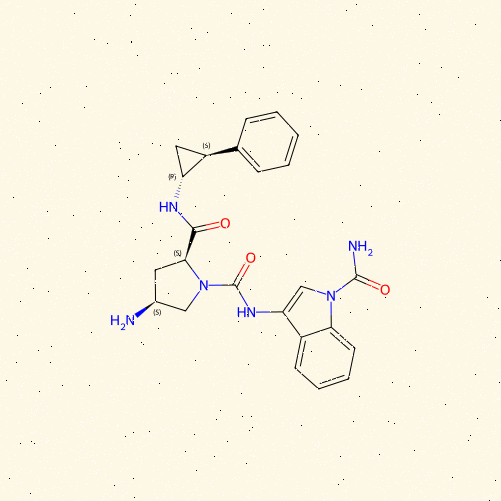 NC(=O)n1cc(NC(=O)N2C[C@@H](N)C[C@H]2C(=O)N[C@@H]2C[C@H]2c2ccccc2)c2ccccc21